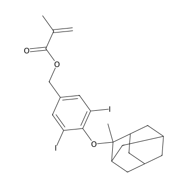 C=C(C)C(=O)OCc1cc(I)c(OC2(C)C3CC4CC(C3)CC2C4)c(I)c1